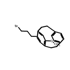 COc1cc2c(CCCBr)cc1CCc1ccc(cc1)CC2